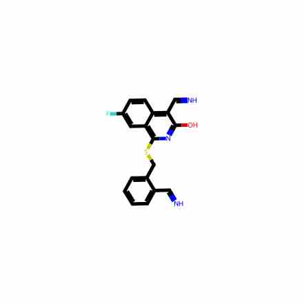 N=Cc1ccccc1CSc1nc(O)c(C=N)c2ccc(F)cc12